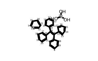 OB(O)O.c1ccc(C(=C(c2ccccc2)c2ccccc2)c2ccccc2)cc1.c1ccncc1